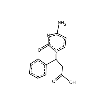 Nc1ccn(C(CC(=O)O)c2ccccc2)c(=O)n1